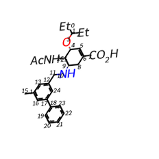 CCC(CC)O[C@@H]1C=C(C(=O)O)C[C@H](NCc2cc(C)cc(-c3ccccc3)c2)[C@H]1NC(C)=O